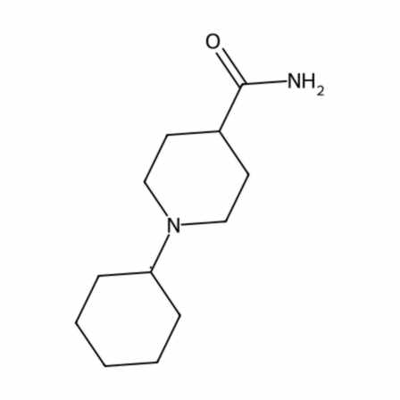 NC(=O)C1CCN([C]2CCCCC2)CC1